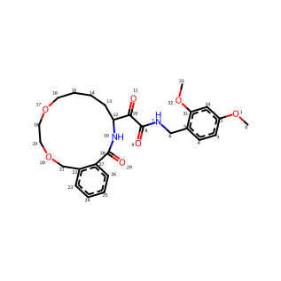 COc1ccc(CNC(=O)C(=O)C2CCCCOCCOCc3ccccc3C(=O)N2)c(OC)c1